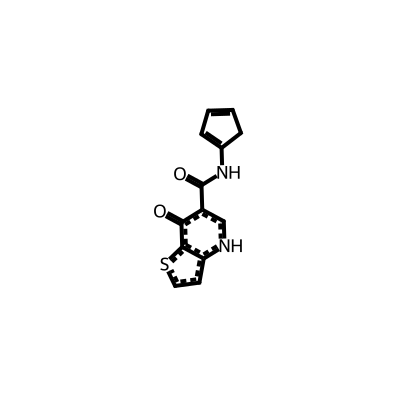 O=C(NC1=CC=CC1)c1c[nH]c2ccsc2c1=O